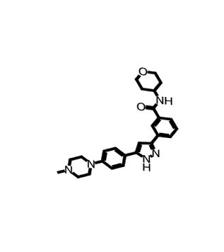 CN1CCN(c2ccc(-c3cc(-c4cccc(C(=O)NC5CCOCC5)c4)n[nH]3)cc2)CC1